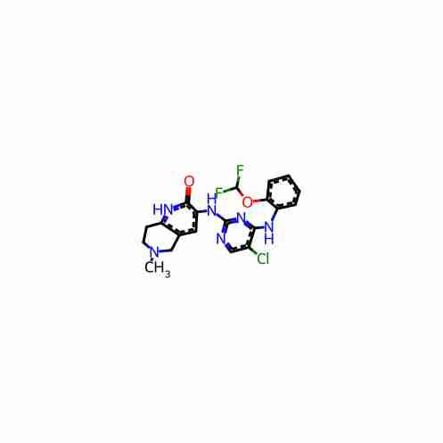 CN1CCc2[nH]c(=O)c(Nc3ncc(Cl)c(Nc4ccccc4OC(F)F)n3)cc2C1